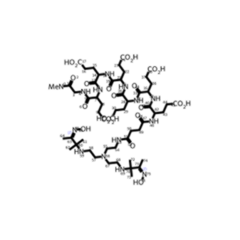 CNC(=O)CNC(=O)C(CCC(=O)O)NC(=O)C(CCC(=O)O)NC(=O)C(CCC(=O)O)NC(=O)C(CCC(=O)O)NC(=O)C(CCC(=O)O)NC(=O)C(CCC(=O)O)NC(=O)CCC(=O)NCCN(CCNC(C)(C)/C(C)=N\O)CCNC(C)(C)/C(C)=N\O